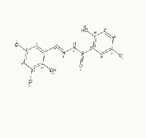 O=C(N/N=C/c1cc(Cl)cc(Cl)c1O)c1cc(Cl)ccc1O